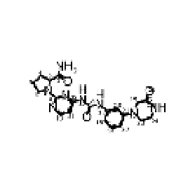 NC(=O)C1CCCN1c1nccc(NC(=O)Nc2cccc(N3CCNC(=O)C3)c2)n1